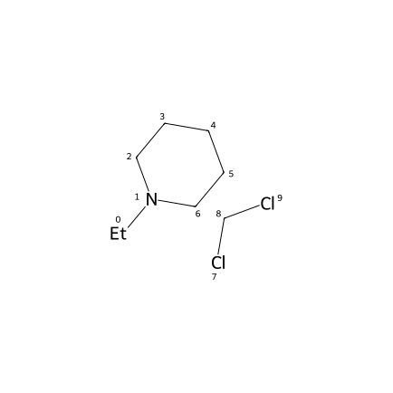 CCN1CCCCC1.ClCCl